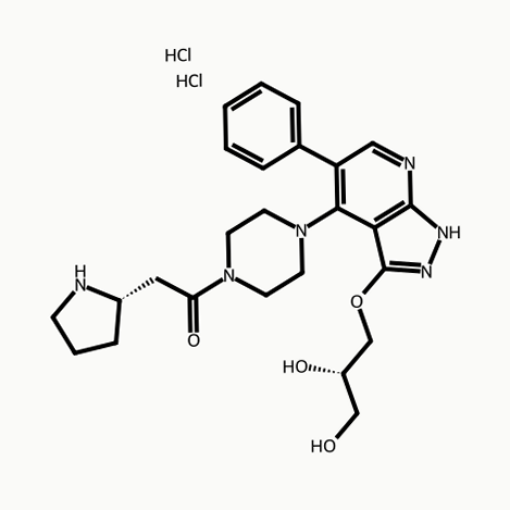 Cl.Cl.O=C(C[C@@H]1CCCN1)N1CCN(c2c(-c3ccccc3)cnc3[nH]nc(OC[C@@H](O)CO)c23)CC1